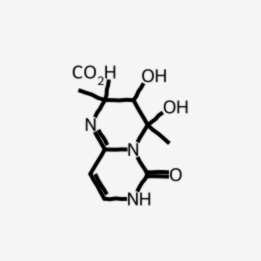 CC1(C(=O)O)N=C2C=CNC(=O)N2C(C)(O)C1O